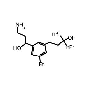 CCCC(O)(CCC)CCc1cc(CC)cc(C(O)CCN)c1